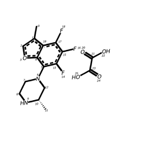 Cc1coc2c(N3CCN[C@@H](C)C3)c(F)c(F)c(F)c12.O=C(O)C(=O)O